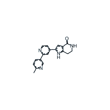 Cc1ccc(-c2cc(-c3cc4c([nH]3)CCNC4=O)ccn2)cn1